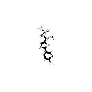 C[C@H](N[S+]([O-])C(C)(C)C)c1cnc(-c2ccc(C(F)(F)F)nc2)s1